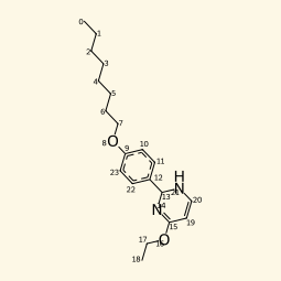 CCCCCCCCOc1ccc(C2N=C(OCC)C=CN2)cc1